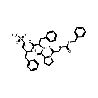 CS(=O)(=O)/C=C/C(Cc1ccccc1)NC(=O)C(Cc1ccccc1)NC(=O)C1CCCN1C(=O)CNC(=O)OCc1ccccc1